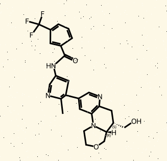 Cc1ncc(NC(=O)c2cccc(C(F)(F)F)c2)cc1-c1cnc2c(c1)N1CCOC[C@H]1[C@@H](CO)C2